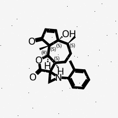 Cc1ccccc1N1CC12C(=O)O[C@@H]1[C@H]2CC[C@H](C)[C@]2(O)C=CC(=O)[C@@]12C